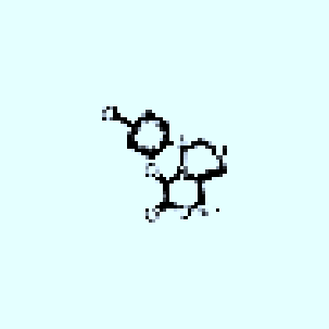 C[C@@H]1OC(=O)C(=O)N2C1=COC[C@H]2c1ccc(Cl)cc1